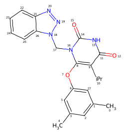 Cc1cc(C)cc(Oc2c(C(C)C)c(=O)[nH]c(=O)n2Cn2nnc3ccccc32)c1